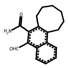 NC(=O)c1c2c(c3ccccc3c1C=O)CCCCCC2